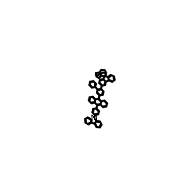 c1ccc(-c2cc(-c3c4ccccc4c(-c4ccc(-n5c6ccccc6c6ccccc65)cc4)c4ccccc34)ccc2-c2ccc3c(c2)-c2ccccc2C32C3CCC4CC(C3)CC42)cc1